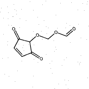 O=COCOC1C(=O)C=CC1=O